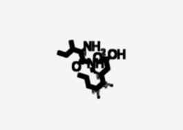 CCC[C@@H](C)[C@@H](C)[C@H](CNC(=O)[C@@H](N)C(C)CC)CC(=O)O